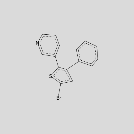 Brc1cc(-c2ccccc2)c(-c2cccnc2)s1